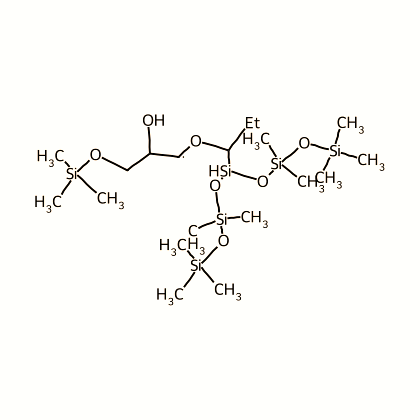 CCC(O[CH]C(O)CO[Si](C)(C)C)[SiH](O[Si](C)(C)O[Si](C)(C)C)O[Si](C)(C)O[Si](C)(C)C